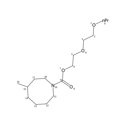 CCCOCCOCCOC(=O)N1CCCCC(C)CC1